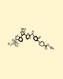 CCN(C)S(=O)(=O)Nc1cccc(-c2nc(C(C)(C)C)sc2-c2ccnc(Nc3ccc(N4CCN(C(=O)OC(C)(C)C)CC4)c(F)c3)n2)c1F